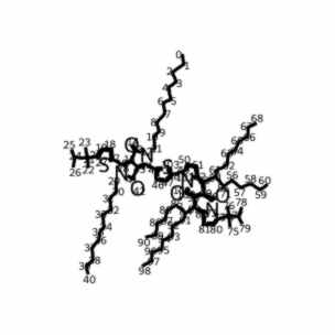 CCCCCCCCCCCCN1C(=O)C2=C(c3ccc(C(C)(C)C(C)C)s3)N(CCCCCCCCCCCC)C(=O)C2=C1c1ccc(-c2ccc3c(C(CCCCCC)CCCCCCCC)c4c(=O)n5c(C(C)(C)C(C)C)ccc5c(C(CCCCCC)CCCCCCCC)c4c(=O)n23)s1